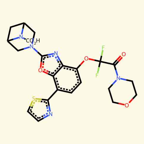 O=C(O)N1C2CC1CN(c1nc3c(OC(F)(F)C(=O)N4CCOCC4)ccc(-c4nccs4)c3o1)C2